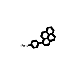 CCCCCc1ccc(-c2ccc3ccc4cccc5ccc2c3c45)cc1